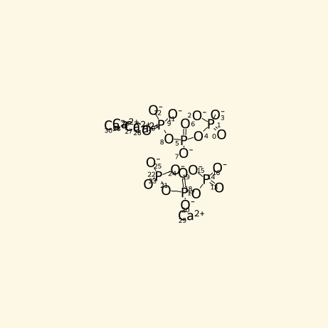 O=P([O-])([O-])OP(=O)([O-])OP(=O)([O-])[O-].O=P([O-])([O-])OP(=O)([O-])OP(=O)([O-])[O-].[Ca+2].[Ca+2].[Ca+2].[Ca+2].[Ca+2]